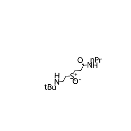 CCCNC(=O)CC[S+]([O-])CCNC(C)(C)C